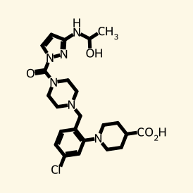 CC(O)Nc1ccn(C(=O)N2CCN(Cc3ccc(Cl)cc3N3CCC(C(=O)O)CC3)CC2)n1